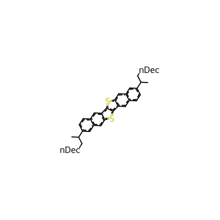 CCCCCCCCCCCC(C)c1ccc2cc3c(cc2c1)sc1c2cc4ccc(C(C)CCCCCCCCCCC)cc4cc2sc31